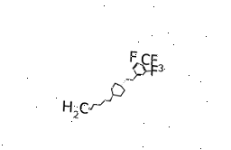 C=CCCCC[C@H]1CC[C@H](CCc2cc(F)c(C(F)(F)F)c(F)c2)CC1